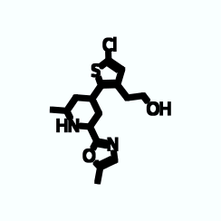 Cc1cnc(C2CC(c3sc(Cl)cc3CCO)CC(C)N2)o1